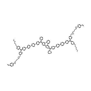 C=Cc1ccc(OCCCCOCc2ccc(N(c3ccc(CCCCCC)cc3)c3ccc(-c4ccc(-c5ccc(-c6ccc(N(c7ccccc7)c7ccc8c9ccc(N(c%10ccccc%10)c%10ccc(-c%11ccc(-c%12ccc(-c%13ccc(N(c%14ccc(CCCCCC)cc%14)c%14ccc(COCCCCOc%15ccc(C=C)cc%15)cc%14)cc%13)cc%12)cc%11)cc%10)cc9c9ccccc9c8c7)cc6)cc5)cc4)cc3)cc2)cc1